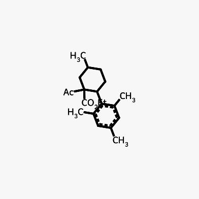 CCOC(=O)C1(C(C)=O)CC(C)CCC1c1c(C)cc(C)cc1C